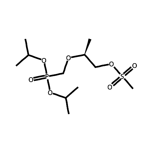 CC(C)OP(=O)(CO[C@@H](C)COS(C)(=O)=O)OC(C)C